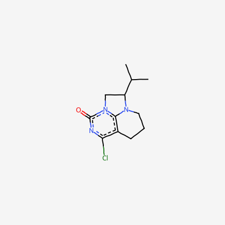 CC(C)C1Cn2c3c(c(Cl)nc2=O)CCCN31